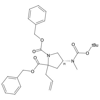 C=CCC1(C(=O)OCc2ccccc2)C[C@@H](N(C)C(=O)OC(C)(C)C)CN1C(=O)OCc1ccccc1